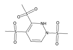 CS(=O)(=O)C1=C(S(C)(=O)=O)NN(S(C)(=O)=O)C=C1